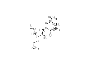 CCCC(NC=O)C(=O)NC(CC(C)C)C(N)=O